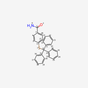 NC(=O)c1ccc(SC(c2ccccc2)(c2ccccc2)c2ccccc2)cc1